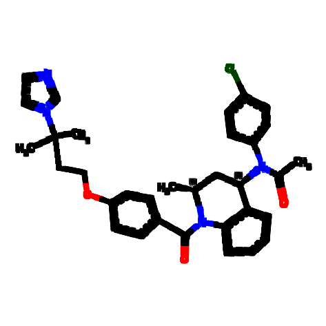 CC(=O)N(c1ccc(Cl)cc1)[C@@H]1C[C@H](C)N(C(=O)c2ccc(OCCC(C)(C)n3ccnc3)cc2)c2ccccc21